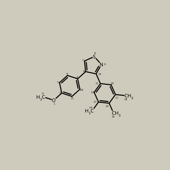 COc1ccc(-c2csnc2-c2cc(C)c(C)c(C)c2)cc1